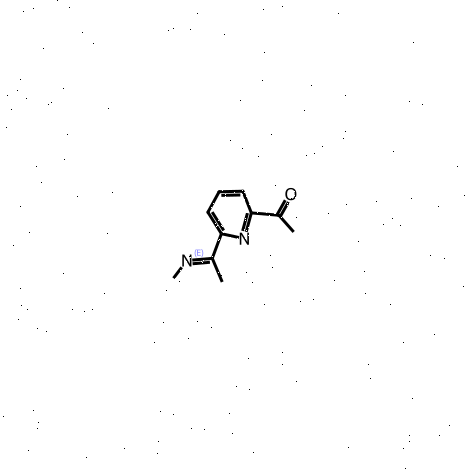 C/N=C(\C)c1cccc(C(C)=O)n1